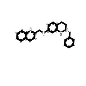 [CH]1C[C@H](Cc2ccccc2)Oc2cc(OCc3ccc4ccccc4n3)ccc21